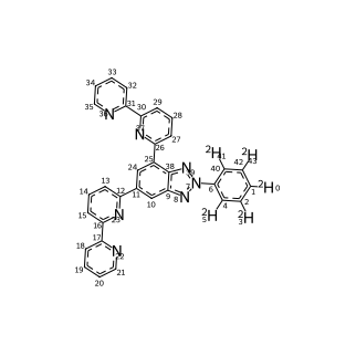 [2H]c1c([2H])c([2H])c(-n2nc3cc(-c4cccc(-c5ccccn5)n4)cc(-c4cccc(-c5ccccn5)n4)c3n2)c([2H])c1[2H]